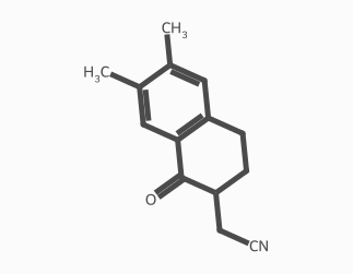 Cc1cc2c(cc1C)C(=O)C(CC#N)CC2